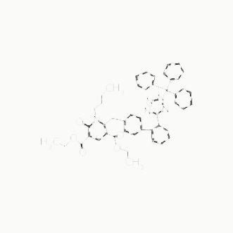 CCCCn1c(Cc2ccc(-c3ccccc3-c3nnn(C(c4ccccc4)(c4ccccc4)c4ccccc4)n3)cc2)c(C(=O)OCC)cc(C(=O)OCC)c1=O